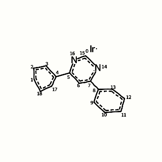 [Ir].c1ccc(-c2cc(-c3ccccc3)ncn2)cc1